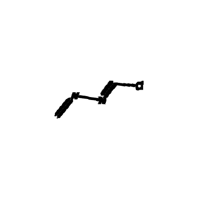 C=NN=CCl